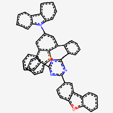 c1ccc(-c2nc(-c3ccc4oc5ccccc5c4c3)nc(-c3ccccc3-c3cc(-n4c5ccccc5c5ccccc54)cc4c3sc3ccccc34)n2)cc1